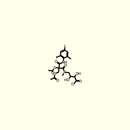 CC(=O)OCC(OC(C)=O)(C(=O)Nc1c(I)cc(I)cc1I)C(=O)N(C)CC(O)C(O)C(=O)Cl